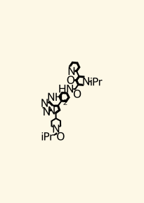 CC(C)C(=O)N1CCC(c2cc(-c3ccc(NC(=O)c4cn(C(C)C)cc(-c5ccccn5)c4=O)cc3)c3c(N)ncnn23)CC1